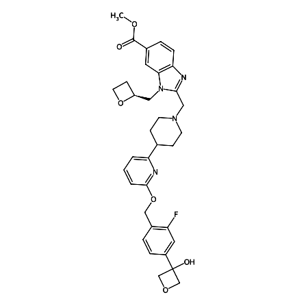 COC(=O)c1ccc2nc(CN3CCC(c4cccc(OCc5ccc(C6(O)COC6)cc5F)n4)CC3)n(C[C@@H]3CCO3)c2c1